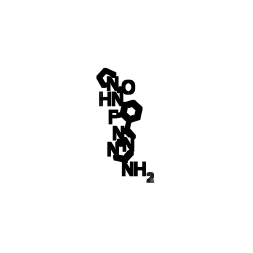 Nc1cnc2nc(-c3cccc(NC(=O)N4CCCC4)c3F)cn2c1